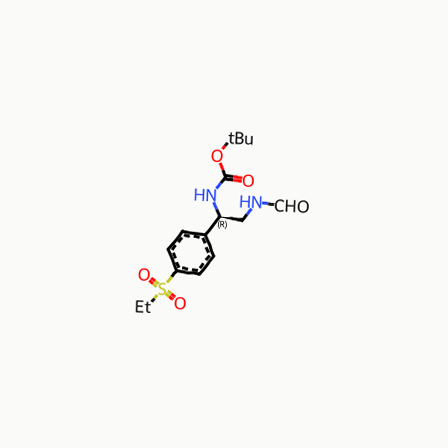 CCS(=O)(=O)c1ccc([C@H](CNC=O)NC(=O)OC(C)(C)C)cc1